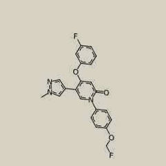 Cn1cc(-c2cn(-c3ccc(OCF)cc3)c(=O)cc2Oc2cccc(F)c2)cn1